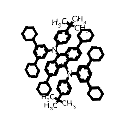 CC(C)(C)c1ccc(N(c2cc(C3CCCCC3)cc(C3CCCCC3)c2)c2c3ccc(C4CCCCC4)cc3c(N(c3ccc(C(C)(C)C)cc3)c3cc(C4CCCCC4)cc(C4CCCCC4)c3)c3ccc(C4CCCCC4)cc23)cc1